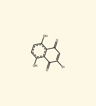 CCC1=CC(=O)c2c(O)ccc(O)c2C1=O